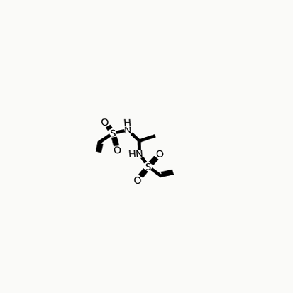 C=CS(=O)(=O)NC(C)NS(=O)(=O)C=C